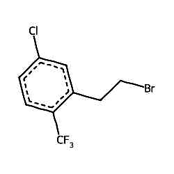 FC(F)(F)c1ccc(Cl)cc1CCBr